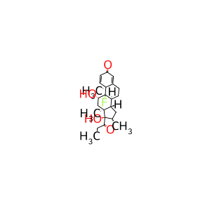 CCC(=O)[C@@]1(O)[C@H](C)C[C@H]2[C@@H]3CCC4=CC(=O)C=C[C@]4(C)[C@@]3(F)[C@@H](O)C[C@@]21C